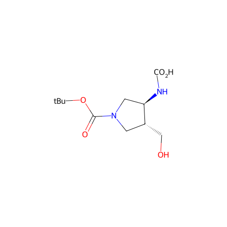 CC(C)(C)OC(=O)N1C[C@@H](CO)[C@H](NC(=O)O)C1